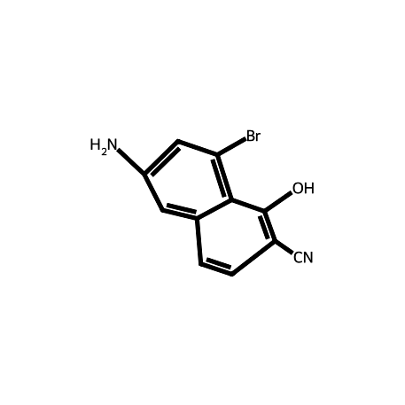 N#Cc1ccc2cc(N)cc(Br)c2c1O